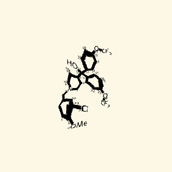 COc1ccc(CN2CCC(C(O)(c3ccc(OC(F)(F)F)cc3)c3ccc(OC(F)(F)F)cc3)CC2)cc1Cl